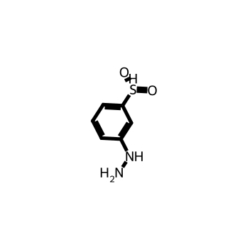 NNc1cccc([SH](=O)=O)c1